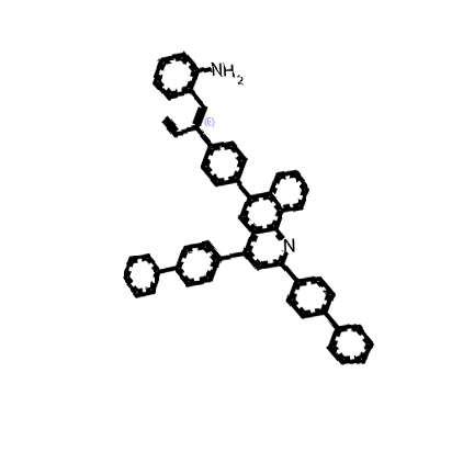 C=C/C(=C\c1ccccc1N)c1ccc(-c2cc3c(-c4ccc(-c5ccccc5)cc4)cc(-c4ccc(-c5ccccc5)cc4)nc3c3ccccc23)cc1